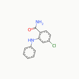 NC(=O)c1ccc(Cl)cc1Nc1ccccc1